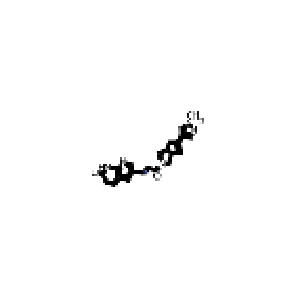 Cn1cc(C2=CC3CN(C(=O)/C=C/c4cnc5c(c4)CCC(=O)N5)CC3C2)cn1